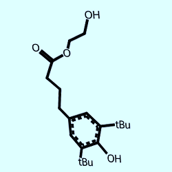 CC(C)(C)c1cc(CCCC(=O)OCCO)cc(C(C)(C)C)c1O